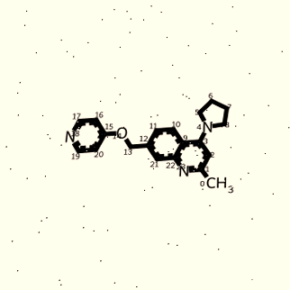 Cc1cc(N2CCCC2)c2ccc(COc3ccncc3)cc2n1